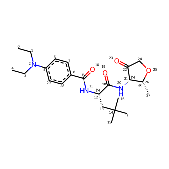 CCN(CC)c1ccc(C(=O)N[C@@H](CC(C)(C)C)C(=O)N[C@@H]2C(=O)CO[C@@H]2C)cc1